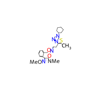 CNC(=O)/C(=N/OC)c1ccccc1CON=CCC1=C(C)SC2N1N=CN2C1CCCCC1